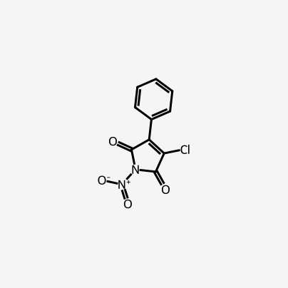 O=C1C(Cl)=C(c2ccccc2)C(=O)N1[N+](=O)[O-]